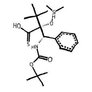 C[SiH](C)O[C@@](C(O)=S)([C@@H](NC(=O)OC(C)(C)C)c1ccccc1)C(C)(C)C